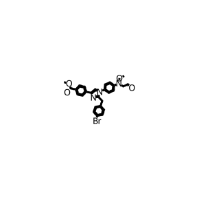 COC(=O)c1ccc(-c2cn(-c3ccc(N(CC=O)OC)cc3)c(Cc3ccc(Br)cc3)n2)cc1